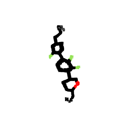 CCCc1ccc(-c2ccc(C3CCC(CC)OC3)c(F)c2F)c(F)c1